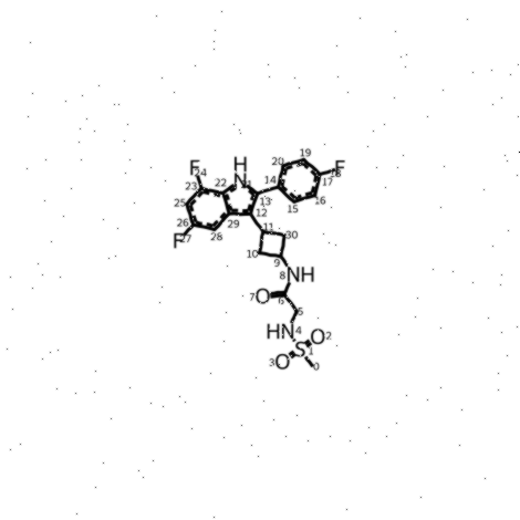 CS(=O)(=O)NCC(=O)NC1CC(c2c(-c3ccc(F)cc3)[nH]c3c(F)cc(F)cc23)C1